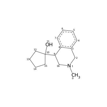 CN1Cc2ccccc2C(C2(O)CCCC2)C1